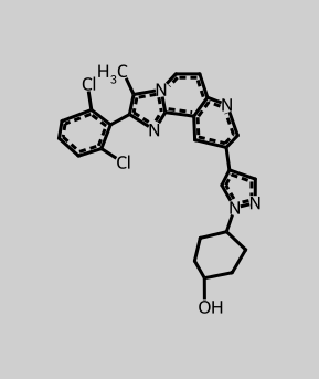 Cc1c(-c2c(Cl)cccc2Cl)nc2c3cc(-c4cnn(C5CCC(O)CC5)c4)cnc3ccn12